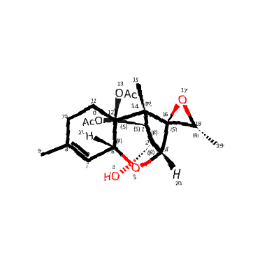 CC(=O)O[C@@H]1[C@@H](O)[C@H]2O[C@@H]3C=C(C)CC[C@]3(OC(C)=O)[C@]1(C)[C@@]21O[C@@H]1C